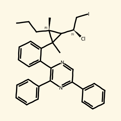 CCC[C@]1(C)C([C@H](Cl)CI)C1(C)c1ccccc1-c1ncc(-c2ccccc2)nc1-c1ccccc1